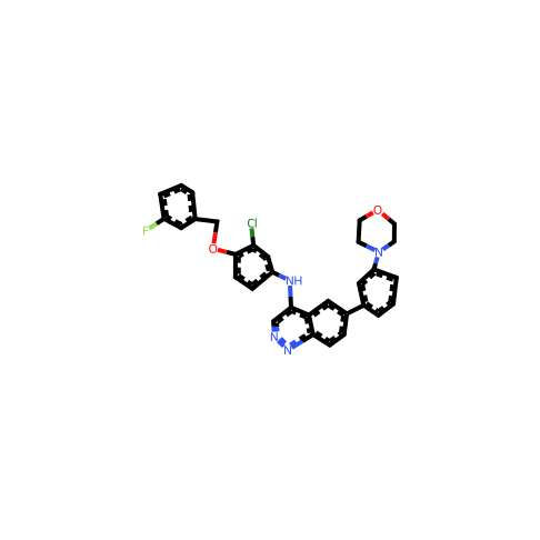 Fc1cccc(COc2ccc(Nc3cnnc4ccc(-c5cccc(N6CCOCC6)c5)cc34)cc2Cl)c1